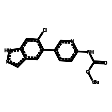 CC(C)(C)OC(=O)Nc1ccc(-c2cc3cn[nH]c3cc2Cl)cn1